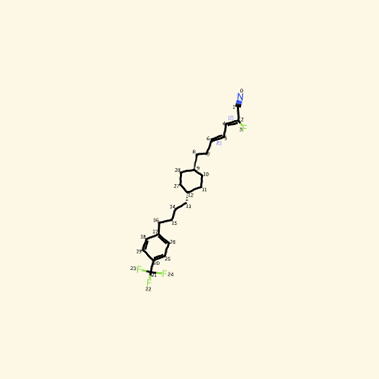 N#C/C(F)=C/C=C/CC[C@H]1CC[C@H](CCCCc2ccc(C(F)(F)F)cc2)CC1